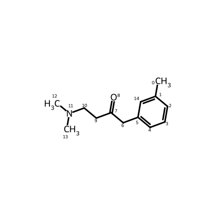 Cc1cccc(CC(=O)CCN(C)C)c1